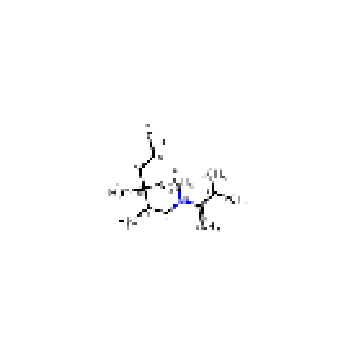 C=C(C(C)C)N(C)CC(C)C(C)(C)CCC